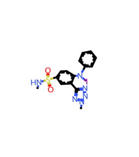 CNS(=O)(=O)c1ccc(N(I)c2ccccc2)c(-c2nnn(C)n2)c1